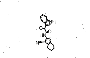 N#Cc1c(NC(=O)C(=O)c2c[nH]c3ccccc23)sc2c1CCCC2